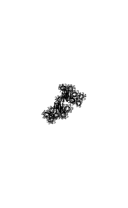 c1ccc([Si](c2ccccc2)(c2ccccc2)c2cccc(-c3nc(-c4cccc(-c5nc(-c6cccc([Si](c7ccccc7)(c7ccccc7)c7ccccc7)c6)nc(-n6c7ccccc7c7ccccc76)n5)c4)nc(-n4c5ccccc5c5ccccc54)n3)c2)cc1